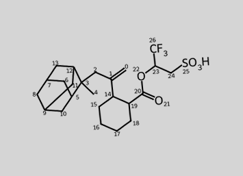 C=C(CC1(C)C2CC3CC(C2)CC1C3)C1CCCCC1C(=O)OC(CS(=O)(=O)O)C(F)(F)F